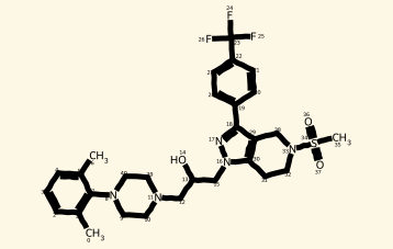 Cc1cccc(C)c1N1CCN(CC(O)Cn2nc(-c3ccc(C(F)(F)F)cc3)c3c2CCN(S(C)(=O)=O)C3)CC1